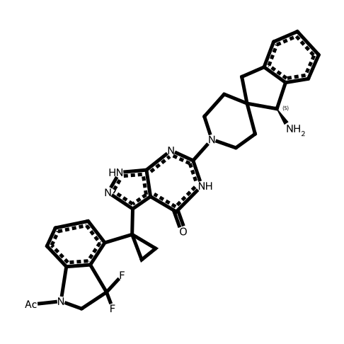 CC(=O)N1CC(F)(F)c2c1cccc2C1(c2n[nH]c3nc(N4CCC5(CC4)Cc4ccccc4[C@H]5N)[nH]c(=O)c23)CC1